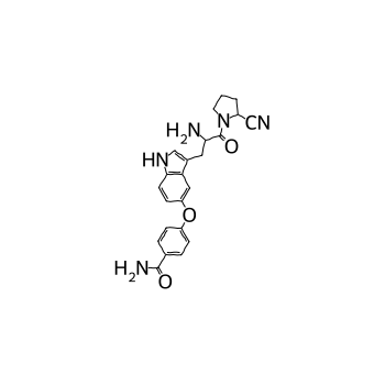 N#CC1CCCN1C(=O)C(N)Cc1c[nH]c2ccc(Oc3ccc(C(N)=O)cc3)cc12